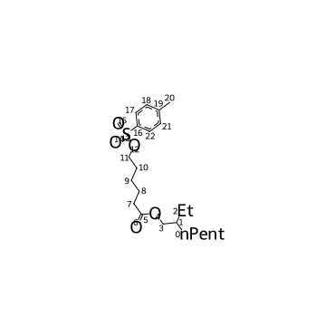 CCCCCC(CC)COC(=O)CCCCCOS(=O)(=O)c1ccc(C)cc1